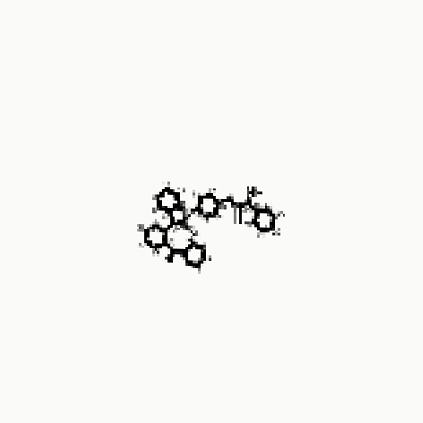 C=C1c2ccccc2Sc2c(c3ccccc3n2-c2ccc(CNC(=N)c3ccccc3)cc2)-c2ccccc21